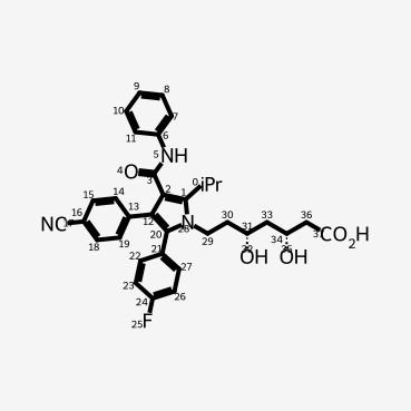 CC(C)c1c(C(=O)Nc2ccccc2)c(-c2ccc(C#N)cc2)c(-c2ccc(F)cc2)n1CC[C@@H](O)C[C@@H](O)CC(=O)O